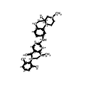 CN1CCN2c3cc(Nc4ncc5c(n4)N(C)CN(c4c(Cl)cccc4Cl)C5=O)ccc3OC[C@@H]2C1